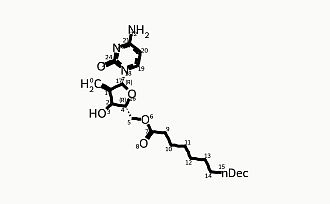 C=C1C(O)[C@@H](COC(=O)CCCCCCCCCCCCCCCC)O[C@H]1n1ccc(N)nc1=O